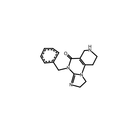 O=C1C2=C(CCNC2)N2CCN=C2N1Cc1ccccc1